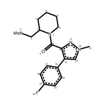 CNCC1CCCCN1C(=O)c1nn(C)cc1-c1ccc(F)cc1